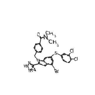 CN(C)C(=O)c1ccc(Cn2c(-c3nn[nH]n3)cc3c(Br)cc(Sc4ccc(Cl)c(Cl)c4)cc32)cc1